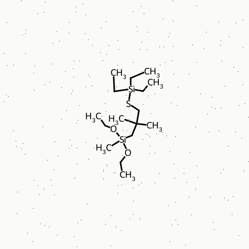 CCO[Si](C)(CC(C)(C)CS[Si](CC)(CC)CC)OCC